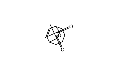 O=C1OC(=O)C2C3C=CC(CCCC3)C12